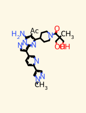 CC(=O)c1c(C2CCN(C(=O)C(C)(CO)CO)CC2)nc2c(-c3ccc(-c4cnn(C)c4)nc3)cnn2c1N